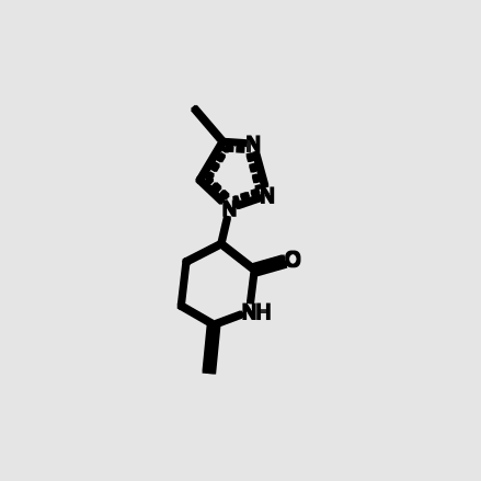 C=C1CCC(n2cc(C)nn2)C(=O)N1